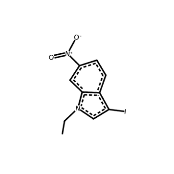 CCn1cc(I)c2ccc([N+](=O)[O-])cc21